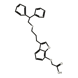 O=C(O)COc1cccc2c(CCCSCC(c3ccccc3)c3ccccc3)coc12